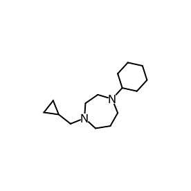 C1CCC(N2CCCN(CC3CC3)CC2)CC1